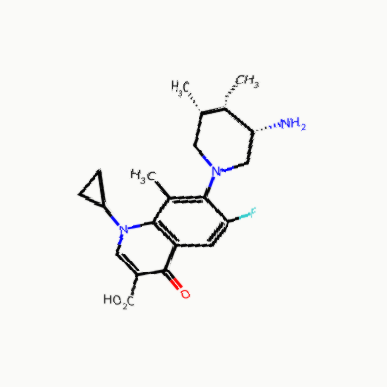 Cc1c(N2C[C@@H](N)[C@@H](C)[C@@H](C)C2)c(F)cc2c(=O)c(C(=O)O)cn(C3CC3)c12